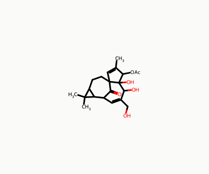 CC(=O)OC1C(C)=CC23CCC4C(C(C=C(CO)C(O)C12O)C3=O)C4(C)C